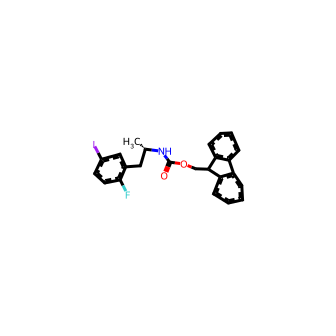 C[C@@H](Cc1cc(I)ccc1F)NC(=O)OCC1c2ccccc2-c2ccccc21